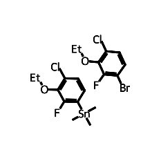 CCOc1c(Cl)cc[c]([Sn]([CH3])([CH3])[CH3])c1F.CCOc1c(Cl)ccc(Br)c1F